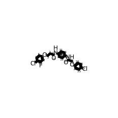 O=C(CCOc1ccc(Cl)c(F)c1)NC12CCC(NC(=O)COc3ccc(Cl)cc3)(CC1)CC2